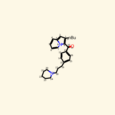 CCCCc1cc2ccccn2c1C(=O)c1ccc(CCCN2CCCCC2)cc1